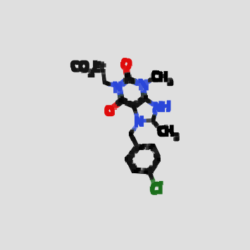 CCOC(=O)Cn1c(=O)c2c(n(C)c1=O)NC(C)N2Cc1ccc(Cl)cc1